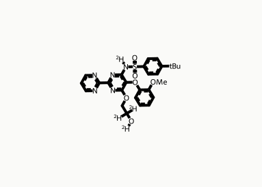 [2H]OC([2H])([2H])COc1nc(-c2ncccn2)nc(N([2H])S(=O)(=O)c2ccc(C(C)(C)C)cc2)c1Oc1ccccc1OC